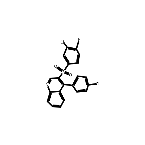 O=S(=O)(c1ccc(F)c(Cl)c1)c1cnc2ccccc2c1-c1ccc(Cl)cc1